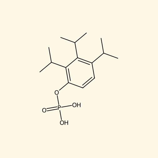 CC(C)c1ccc(OP(=O)(O)O)c(C(C)C)c1C(C)C